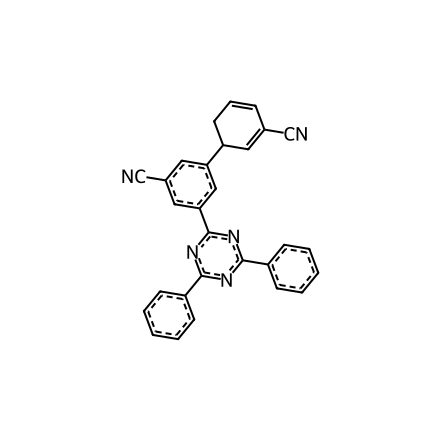 N#CC1=CC(c2cc(C#N)cc(-c3nc(-c4ccccc4)nc(-c4ccccc4)n3)c2)CC=C1